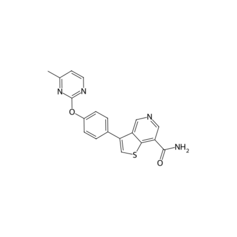 Cc1ccnc(Oc2ccc(-c3csc4c(C(N)=O)cncc34)cc2)n1